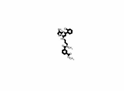 Bc1cnn2c(NCCCN(C)C(=O)c3cccc(C(=O)OC)c3)cc(-c3ccccc3Cl)nc12